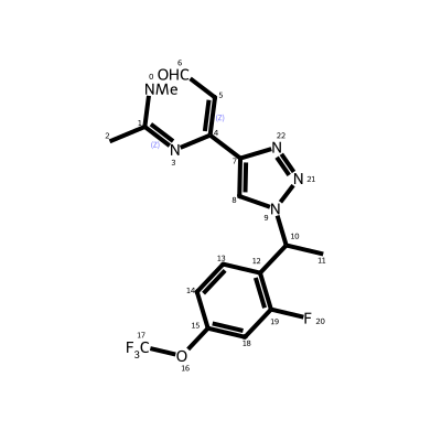 CN/C(C)=N\C(=C/C=O)c1cn(C(C)c2ccc(OC(F)(F)F)cc2F)nn1